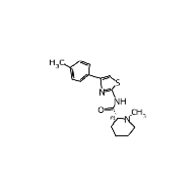 Cc1ccc(-c2csc(NC(=O)[C@H]3CCCCN3C)n2)cc1